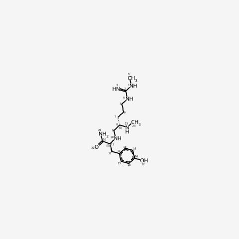 CNC(=N)NCCC[C@@H](CN[C@@H](Cc1ccc(O)cc1)C(N)=O)NC